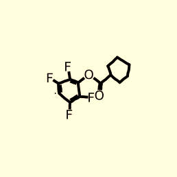 O=C(Oc1c(F)c(F)[c]c(F)c1F)C1CCCCC1